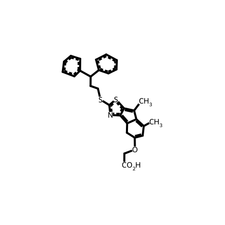 CC1=C2C(=c3nc(SCCC(c4ccccc4)c4ccccc4)sc3=C2C)CC(OCC(=O)O)=C1